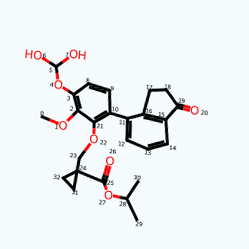 COc1c(OC(O)O)ccc(-c2cccc3c2CCC3=O)c1OCC1(C(=O)OC(C)C)CC1